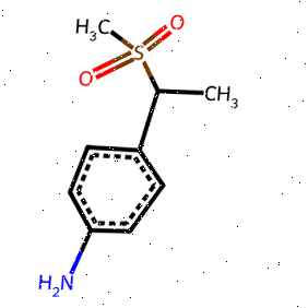 CC(c1ccc(N)cc1)S(C)(=O)=O